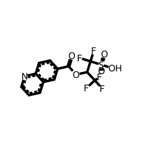 O=C(OC(C(F)(F)F)C(F)(F)S(=O)(=O)O)c1ccc2ncccc2c1